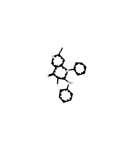 Cc1cc2c(cn1)c(=O)c(I)c(Nc1ccccc1)n2-c1ccccc1